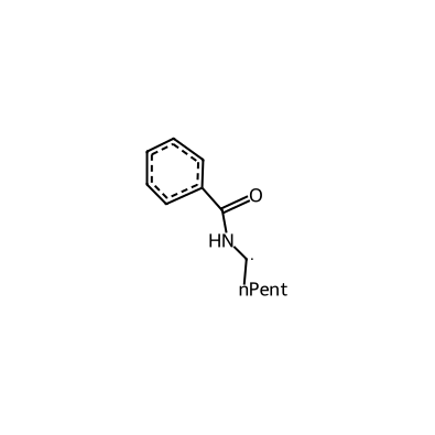 CCCCC[CH]NC(=O)c1ccccc1